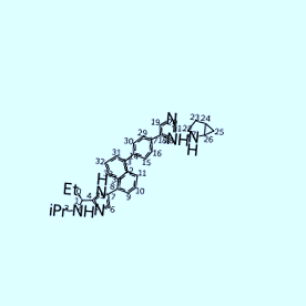 CC[C@H](NC(C)C)c1ncc(-c2cccc3c(-c4ccc(-c5cnc([C@@H]6CC7CC7N6)[nH]5)cc4)cccc23)[nH]1